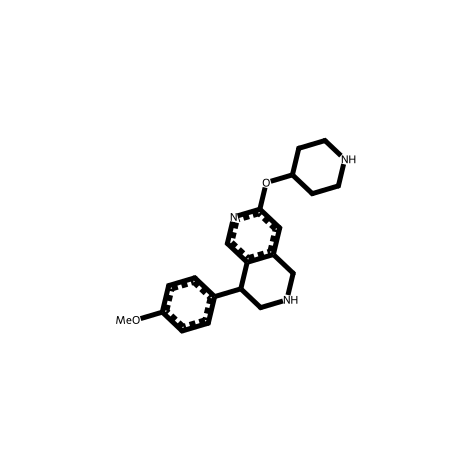 COc1ccc(C2CNCc3cc(OC4CCNCC4)ncc32)cc1